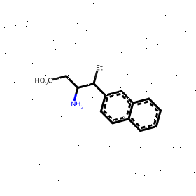 CCC(c1ccc2ccccc2c1)C(N)CC(=O)O